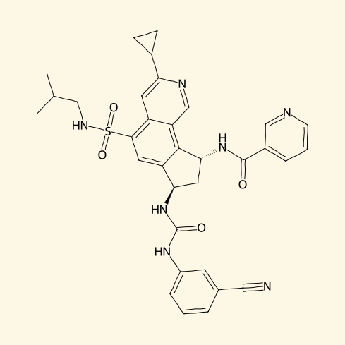 CC(C)CNS(=O)(=O)c1cc2c(c3cnc(C4CC4)cc13)[C@H](NC(=O)c1cccnc1)C[C@H]2NC(=O)Nc1cccc(C#N)c1